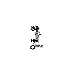 COc1ccccc1CCNC(=O)c1cnc(C(C)NC(=O)c2ncnc3c2cnn3C)s1